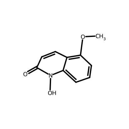 COc1cccc2c1ccc(=O)n2O